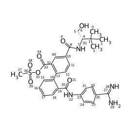 CC(C)(C)[C@@H](CO)NC(=O)c1ccc(-c2ccccc2C(=O)Nc2ccc(C(=N)N)cc2)c(C(=O)OS(C)(=O)=O)c1